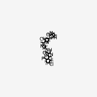 Cc1ncc(-c2c(C(F)F)ccc(Cl)c2F)nc1C(=O)Nc1cnn(C(C)c2ncc(N3C[C@H]4CC[C@H]4C3=O)cc2Cl)c1